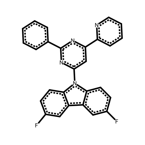 Fc1ccc2c(c1)c1cc(F)ccc1n2-c1cc(-c2ccccn2)nc(-c2ccccc2)n1